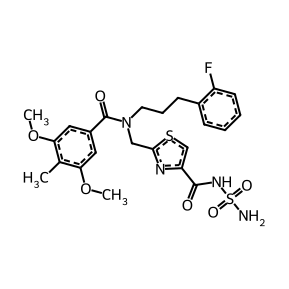 COc1cc(C(=O)N(CCCc2ccccc2F)Cc2nc(C(=O)NS(N)(=O)=O)cs2)cc(OC)c1C